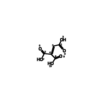 O=C(O)C=C(C(=O)O)C(=O)O